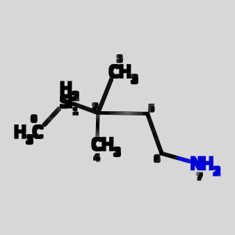 C[SiH2]C(C)(C)CCN